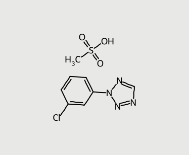 CS(=O)(=O)O.Clc1cccc(-n2ncnn2)c1